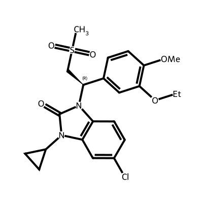 CCOc1cc([C@H](CS(C)(=O)=O)n2c(=O)n(C3CC3)c3cc(Cl)ccc32)ccc1OC